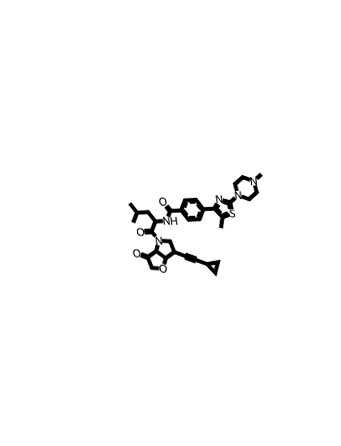 Cc1sc(N2CCN(C)CC2)nc1-c1ccc(C(=O)NC(CC(C)C)C(=O)N2CC(C#CC3CC3)C3OCC(=O)C32)cc1